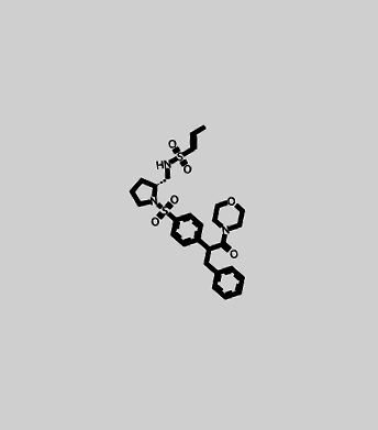 C/C=C/S(=O)(=O)NC[C@H]1CCCN1S(=O)(=O)c1ccc(C(Cc2ccccc2)C(=O)N2CCOCC2)cc1